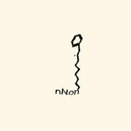 CCCCCCCCCCCCCCCC[CH]Cc1ccccc1